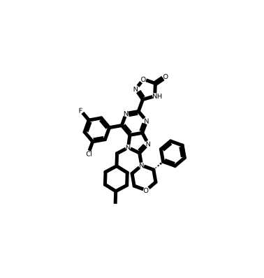 CC1CCC(Cn2c(N3CCOC[C@H]3c3ccccc3)nc3nc(-c4noc(=O)[nH]4)nc(-c4cc(F)cc(Cl)c4)c32)CC1